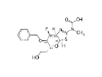 CN(C(=O)O)C1=N[C@@H]2[C@H](F)[C@H](OCc3ccccc3)[C@@H](CCO)O[C@@H]2S1